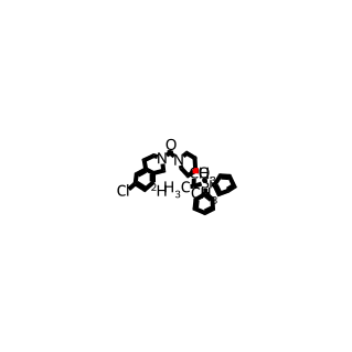 [2H]c1cc(Cl)cc2c1CN(C(=O)N1CCC(O[Si](c3ccccc3)(c3ccccc3)C(C)(C)C)CC1)CC2